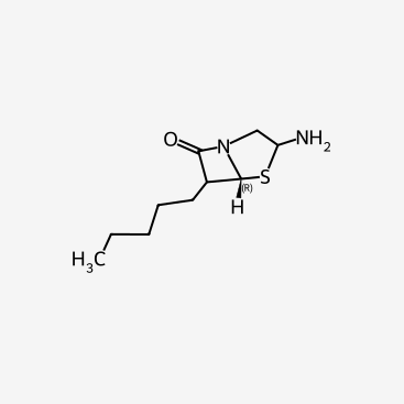 CCCCCC1C(=O)N2CC(N)S[C@H]12